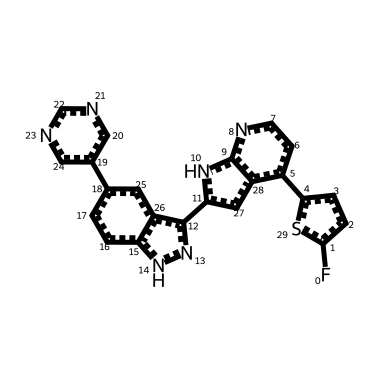 Fc1ccc(-c2ccnc3[nH]c(-c4n[nH]c5ccc(-c6cncnc6)cc45)cc23)s1